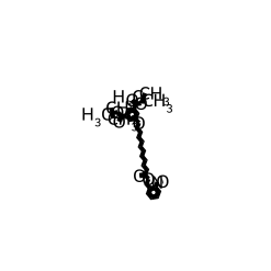 CC(C)(C)OC(=O)c1cc(OCCCCCCCCCCC(=O)OCc2ccccc2N=O)cc(C(=O)OC(C)(C)C)c1